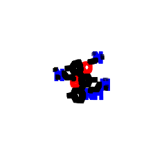 Cc1ccc(NCCCN(C)C)c(-c2cc(C)cc(-c3cc(C)ccc3OCCN(C)C)c2OCCCN(C)C)c1